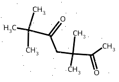 CC(=O)C(C)(C)CC(=O)C(C)(C)C